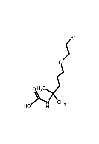 CC(C)(CCCOCCBr)NC(=O)O